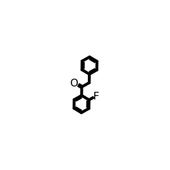 O=C(Cc1ccccc1)c1ccccc1F